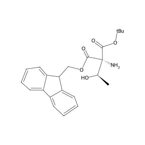 C[C@@H](O)[C@@](N)(C(=O)OCC1c2ccccc2-c2ccccc21)C(=O)OC(C)(C)C